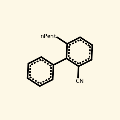 CCCCCc1cccc(C#N)c1-c1ccccc1